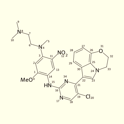 COc1cc(N(C)CCN(C)C)c([N+](=O)[O-])cc1Nc1ncc(Cl)c(-c2cn3c4c(cccc24)OCC3)n1